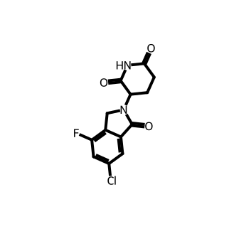 O=C1CCC(N2Cc3c(F)cc(Cl)cc3C2=O)C(=O)N1